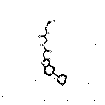 C#CCNC(=O)CNC(=O)Cc1nc2ccc(-c3ccccc3)cc2s1